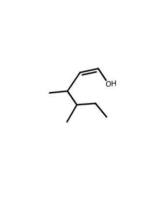 CCC(C)C(C)/C=C\O